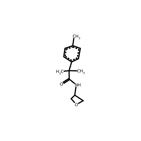 Cc1ccc(C(C)(C)C(=O)NC2COC2)cc1